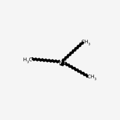 CCCCCCCCCCCCCCCCCCN1C=CN(CCCCCCCCCCCCCCCCC)C1CCCCCCCCCCCCCCCCC